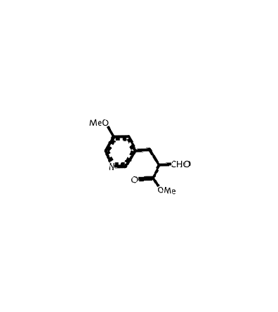 COC(=O)C(C=O)Cc1cncc(OC)c1